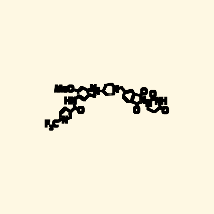 COc1cc2nn(C3CCN(Cc4ccc5c(c4)C(=O)N(N4CCC(=O)NC4=O)C5=O)CC3)cc2cc1NC(=O)c1ccc(C(F)(F)F)nc1